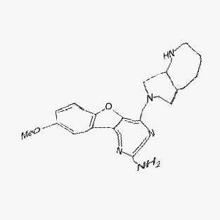 COc1ccc2oc3c(N4CC5CCCNC5C4)nc(N)nc3c2c1